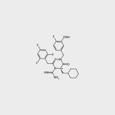 COc1cc(CNC(=O)[C@@H](CC2CCCCC2)N(C(=N)N)C(=O)Cc2c(F)cc(F)cc2F)ccc1F